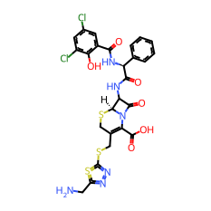 NCc1nnc(SCC2=C(C(=O)O)N3C(=O)C(NC(=O)[C@@H](NC(=O)c4cc(Cl)cc(Cl)c4O)c4ccccc4)[C@@H]3SC2)s1